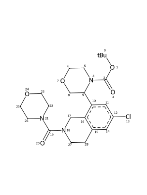 CC(C)(C)OC(=O)N1CCOCC1c1cc(Cl)cc2c1CN(C(=O)N1CCOCC1)CC2